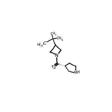 CC(C)(C)C1CN(C(=O)[C@@H]2CCNC2)C1